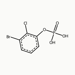 O=P(O)(O)Oc1cccc(Br)c1Cl